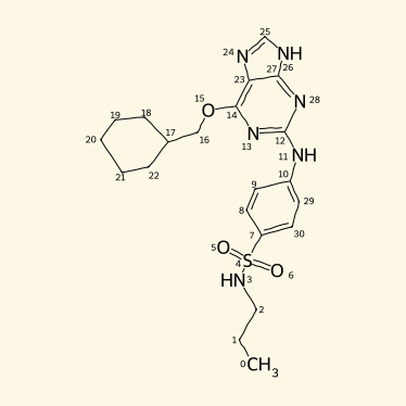 CCCNS(=O)(=O)c1ccc(Nc2nc(OCC3CCCCC3)c3nc[nH]c3n2)cc1